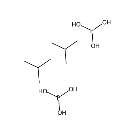 CC(C)C.CC(C)C.OP(O)O.OP(O)O